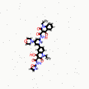 CC(C)Cn1c(=O)c(C(=O)Nc2cc(N3CCOCC3)cc(-c3ccc4c(c3)c(O)c(C(=O)Nc3ncco3)c(=O)n4CC(C)C)n2)c(O)c2ccccc21